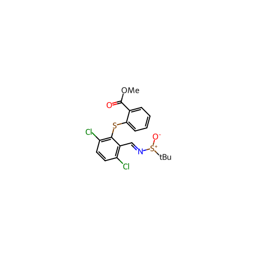 COC(=O)c1ccccc1Sc1c(Cl)ccc(Cl)c1/C=N/[S+]([O-])C(C)(C)C